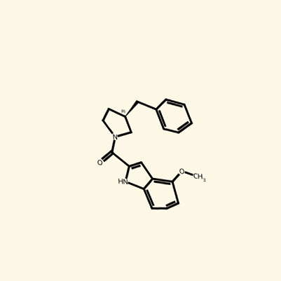 COc1cccc2[nH]c(C(=O)N3CC[C@@H](Cc4ccccc4)C3)cc12